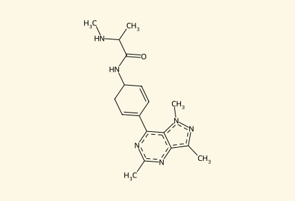 CNC(C)C(=O)NC1C=CC(c2nc(C)nc3c(C)nn(C)c23)=CC1